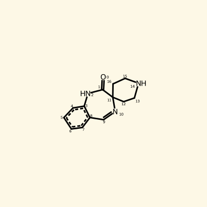 O=C1Nc2ccccc2C=NC12CCNCC2